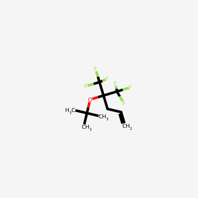 C=CCC(OC(C)(C)C)(C(F)(F)F)C(F)(F)F